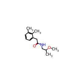 COC(C)CNC(=O)Cc1cccc(C)c1C